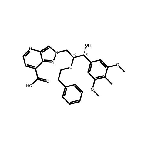 COc1cc([C@@H](O)[C@H](Cn2cc3nccc(C(=O)O)c3n2)OCCc2ccccc2)cc(OC)c1C